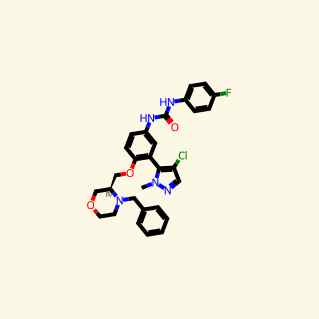 Cn1ncc(Cl)c1-c1cc(NC(=O)Nc2ccc(F)cc2)ccc1OC[C@@H]1COCCN1Cc1ccccc1